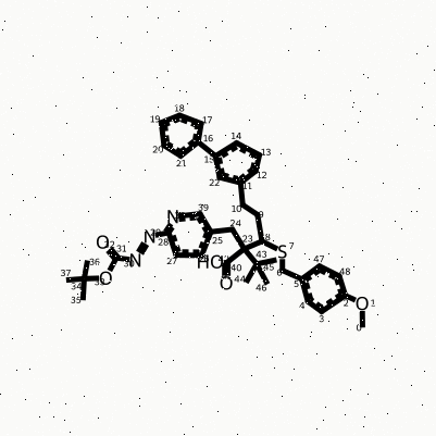 COc1ccc(CSC(CCc2cccc(-c3ccccc3)c2)C(Cc2ccc(N=NC(=O)OC(C)(C)C)nc2)(C(=O)O)C(C)(C)C)cc1